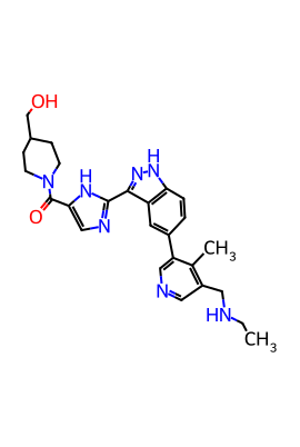 CCNCc1cncc(-c2ccc3[nH]nc(-c4ncc(C(=O)N5CCC(CO)CC5)[nH]4)c3c2)c1C